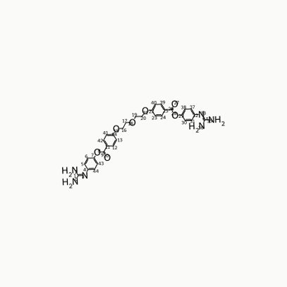 NC(N)=Nc1ccc(OC(=O)c2ccc(OCCOCCOc3ccc(C(=O)Oc4ccc(N=C(N)N)cc4)cc3)cc2)cc1